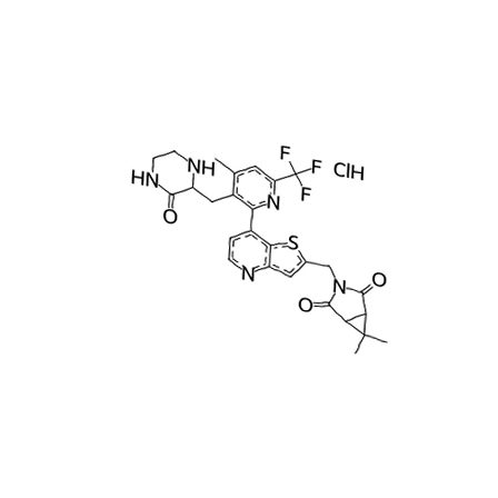 Cc1cc(C(F)(F)F)nc(-c2ccnc3cc(CN4C(=O)C5C(C4=O)C5(C)C)sc23)c1CC1NCCNC1=O.Cl